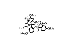 COc1ccc(S(=O)(=O)N2C(=O)C(c3cnc(OC)nc3OC)(N3C[C@H](O)C[C@H]3C(=O)N(C)C)c3cc(OC)ccc32)c(OC)c1